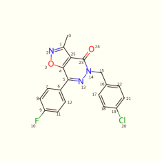 Cc1noc2c(-c3ccc(F)cc3)nn(Cc3ccc(Cl)cc3)c(=O)c12